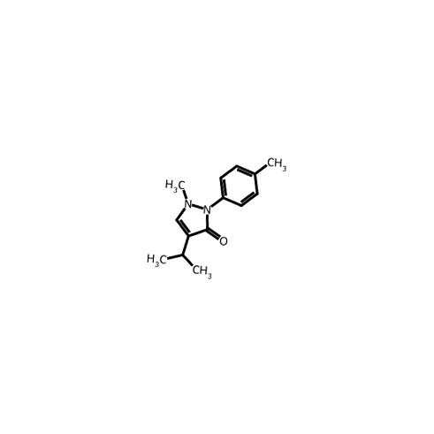 Cc1ccc(-n2c(=O)c(C(C)C)cn2C)cc1